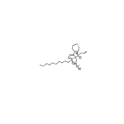 C=CCS(=O)(=O)C(CN=[N+]=[N-])(C(=C)C1CCCCC1)S(=O)(=O)CCCCCCCCCC